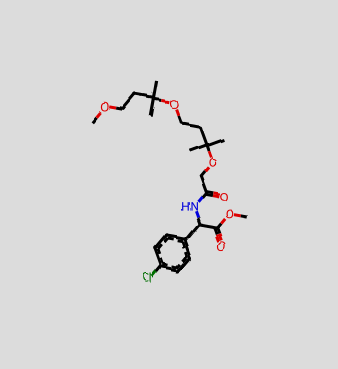 COCCC(C)(C)OCCC(C)(C)OCC(=O)NC(C(=O)OC)c1ccc(Cl)cc1